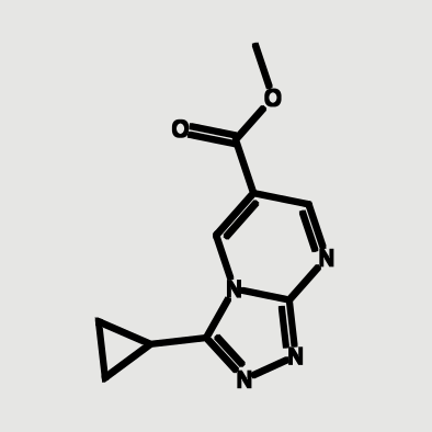 COC(=O)c1cnc2nnc(C3CC3)n2c1